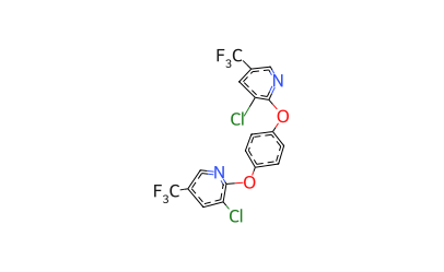 FC(F)(F)c1cnc(Oc2ccc(Oc3ncc(C(F)(F)F)cc3Cl)cc2)c(Cl)c1